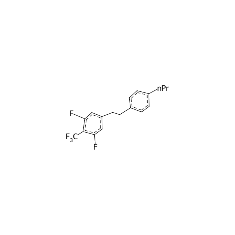 CCCc1ccc(CCc2cc(F)c(C(F)(F)F)c(F)c2)cc1